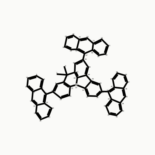 CC1(C)c2cc(-c3c4ccccc4cc4ccccc34)ccc2-n2c3ccc(-c4c5ccccc5cc5ccccc45)cc3c3cc(-c4c5ccccc5cc5ccccc45)cc1c32